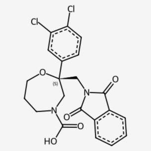 O=C(O)N1CCCO[C@](CN2C(=O)c3ccccc3C2=O)(c2ccc(Cl)c(Cl)c2)C1